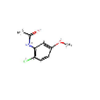 COc1ccc(Cl)c(NC(C)=O)c1